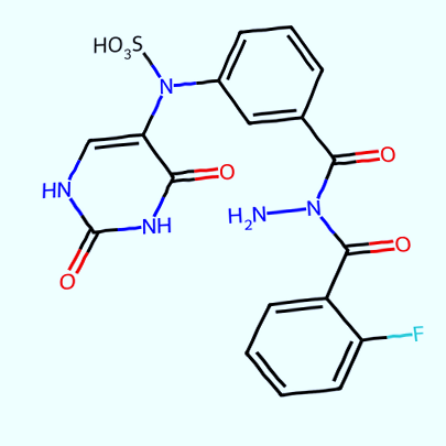 NN(C(=O)c1cccc(N(c2c[nH]c(=O)[nH]c2=O)S(=O)(=O)O)c1)C(=O)c1ccccc1F